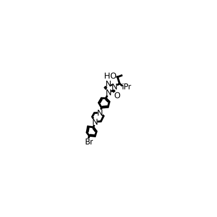 CC(C)C(C(C)O)n1ncn(-c2ccc(N3CCN(c4ccc(Br)cc4)CC3)cc2)c1=O